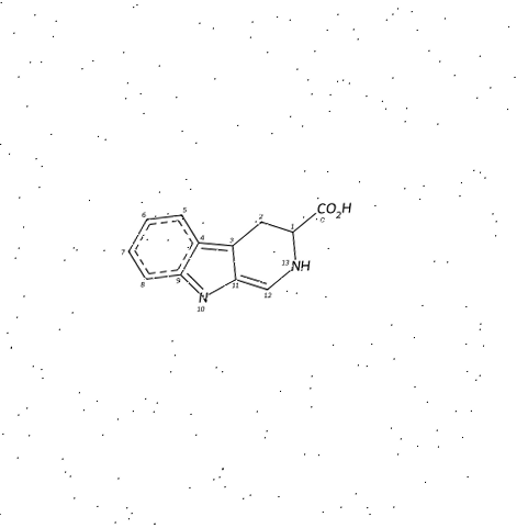 O=C(O)C1CC2=c3ccccc3=NC2=CN1